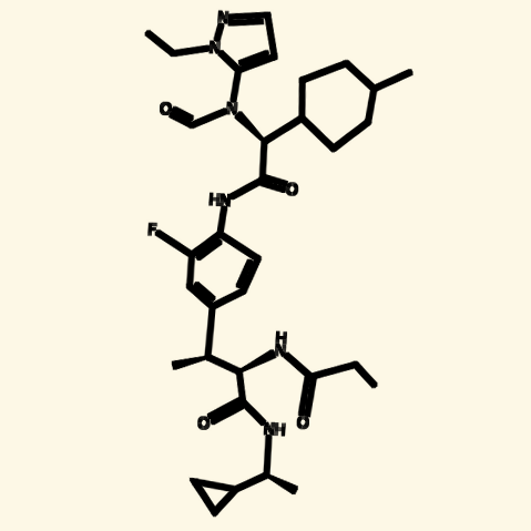 CCC(=O)N[C@@H](C(=O)N[C@@H](C)C1CC1)[C@@H](C)c1ccc(NC(=O)[C@H](C2CCC(C)CC2)N(C=O)c2ccnn2CC)c(F)c1